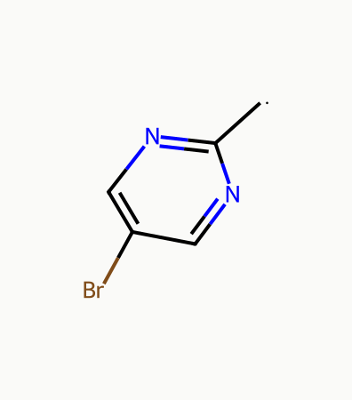 [CH2]c1ncc(Br)cn1